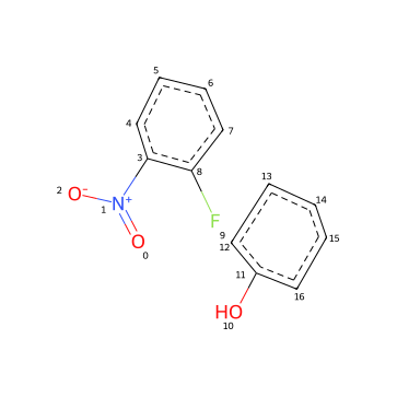 O=[N+]([O-])c1ccccc1F.Oc1ccccc1